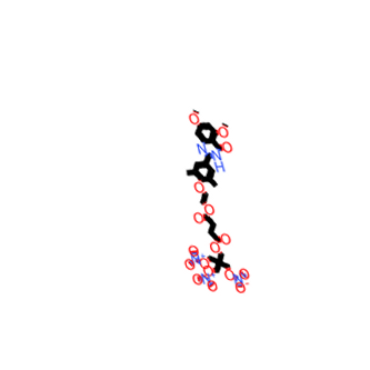 COc1cc(OC)c2c(=O)[nH]c(-c3cc(C)c(OCCOC(=O)CCC(=O)OCC(CO[N+](=O)[O-])(CO[N+](=O)[O-])CO[N+](=O)[O-])c(C)c3)nc2c1